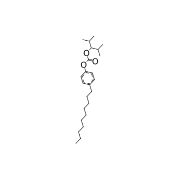 CCCCCCCCCCc1ccc(OC(=O)OC(C(C)C)C(C)C)cc1